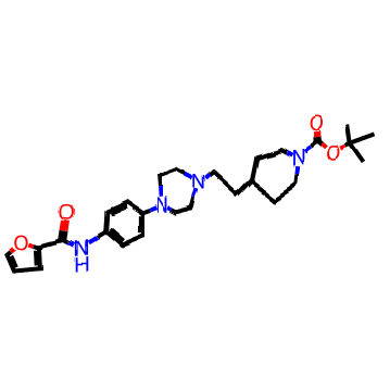 CC(C)(C)OC(=O)N1CCC(CCN2CCN(c3ccc(NC(=O)c4ccco4)cc3)CC2)CC1